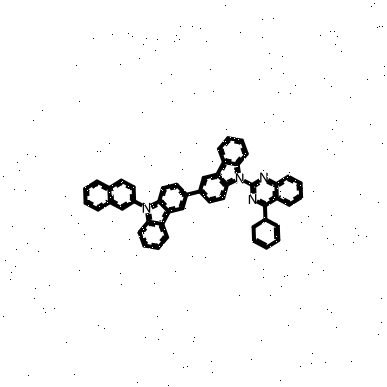 C1=CCC(c2nc(-n3c4ccccc4c4cc(-c5ccc6c(c5)c5ccccc5n6-c5ccc6ccccc6c5)ccc43)nc3ccccc23)C=C1